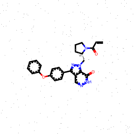 C=CC(=O)N1CCC[C@H]1Cn1nc(-c2ccc(Oc3ccccc3)cc2)c2cn[nH]c(=O)c21